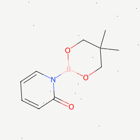 CC1(C)COB(n2ccccc2=O)OC1